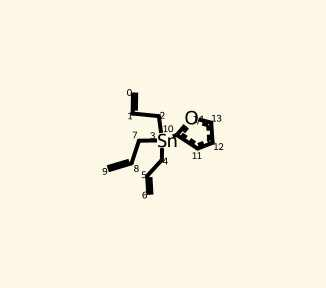 C=C[CH2][Sn]([CH2]C=C)([CH2]C=C)[c]1ccco1